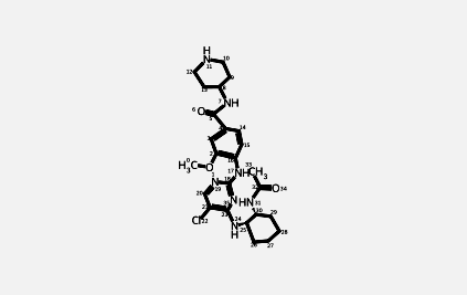 COc1cc(C(=O)NC2CCNCC2)ccc1Nc1ncc(Cl)c(N[C@@H]2CCCC[C@H]2NC(C)=O)n1